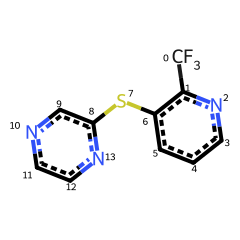 FC(F)(F)c1ncccc1Sc1cnccn1